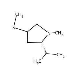 CSC1C[C@@H](C(C)C)N(C)C1